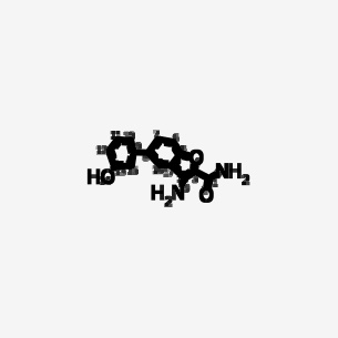 NC(=O)c1oc2ccc(-c3cccc(O)c3)cc2c1N